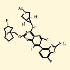 CC(=O)N1C[C@@H]2C(Nc3nc(OC[C@@]45CCCN4C[C@H](F)C5)nc4c(F)c(-c5ccc(F)c6sc(N)nc56)c(Cl)cc34)[C@@H]2C1